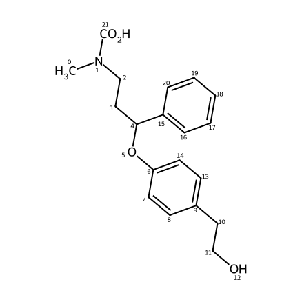 CN(CCC(Oc1ccc(CCO)cc1)c1ccccc1)C(=O)O